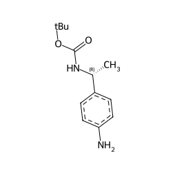 C[C@@H](NC(=O)OC(C)(C)C)c1ccc(N)cc1